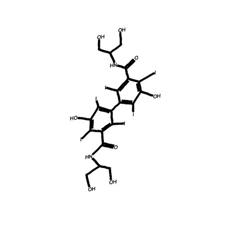 O=C(NC(CO)CO)c1c(I)c(O)c(I)c(-c2c(I)c(O)c(I)c(C(=O)NC(CO)CO)c2I)c1I